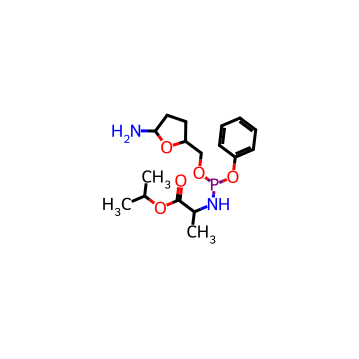 CC(C)OC(=O)C(C)NP(OCC1CCC(N)O1)Oc1ccccc1